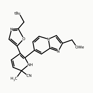 COCc1cn2ccc(C3=C(c4cnc(CC(C)(C)C)o4)C=CC(C)(C#N)N3)cc2n1